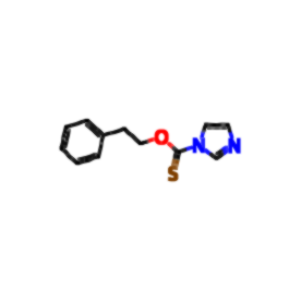 S=C(OCCc1ccccc1)n1ccnc1